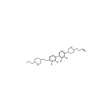 C=CCCC1CCC(c2ccc(-c3ccc(CCC4CCC(CCC)OC4)c(F)c3F)c(F)c2F)CO1